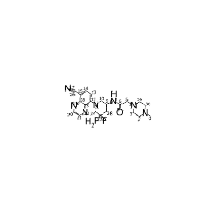 CN1CCN(CC(=O)NC2CN(c3ccc(C#N)c4nccnc34)CC(F)(P)C2)CC1